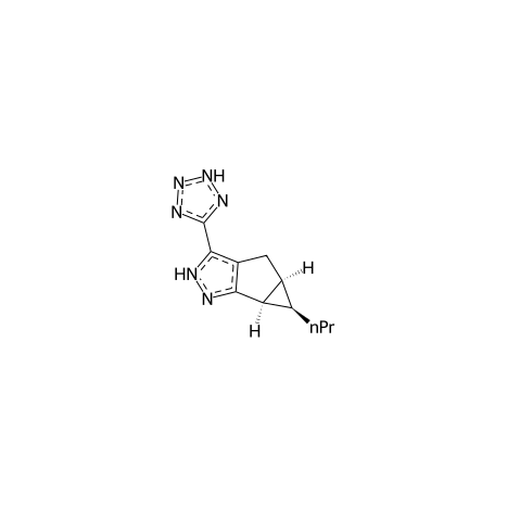 CCC[C@@H]1[C@@H]2Cc3c(n[nH]c3-c3nn[nH]n3)[C@H]12